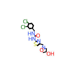 O=C(NCc1ccc(Cl)c(Cl)c1)Nc1nc(CN2CC(O)CO2)cs1